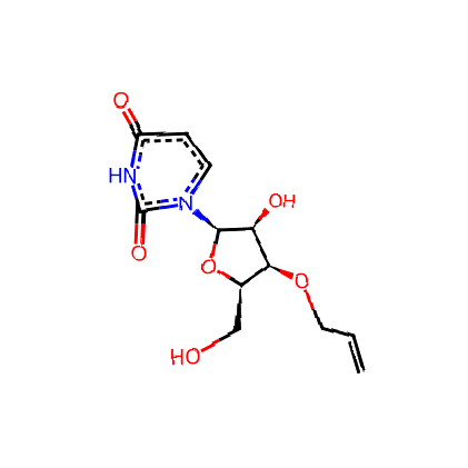 C=CCO[C@@H]1[C@H](O)[C@H](n2ccc(=O)[nH]c2=O)O[C@@H]1CO